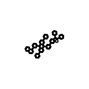 c1ccc(-c2ccc3c(-c4cccc(-c5cccc6ccccc56)c4)c4cc(-c5ccccc5)ccc4c(-c4cccc(-c5ccc6c(-c7ccccc7)c(-c7ccccc7)oc6c5)c4)c3c2)cc1